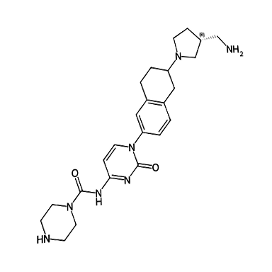 NC[C@H]1CCN(C2CCc3cc(-n4ccc(NC(=O)N5CCNCC5)nc4=O)ccc3C2)C1